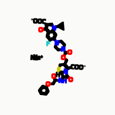 O=C(COc1ccccc1)N[C@@H]1C(=O)N2C(C(=O)[O-])=C(COC(=O)N3CCN(c4cc5c(cc4F)c(=O)c(C(=O)[O-])cn5C4CC4)CC3)CS[C@H]12.[Na+].[Na+]